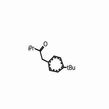 CC(C)C(=O)Cc1ccc(C(C)(C)C)cc1